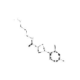 CCCCCNC(=O)N1CC(c2ccc(O)cc2O)C1